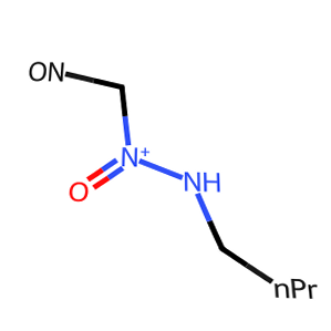 CCCCN[N+](=O)CN=O